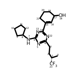 C[C@@H](CCc1nc(NC2CCCC2)nc(C2=CC(O)CCC2)n1)C(F)(F)F